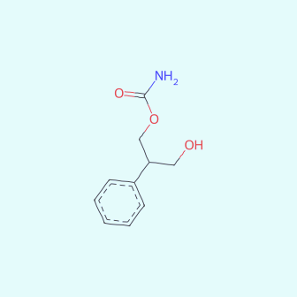 NC(=O)OCC(CO)c1ccccc1